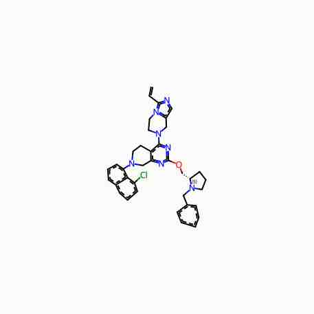 C=Cc1ncc2n1CCN(c1nc(OC[C@@H]3CCCN3Cc3ccccc3)nc3c1CCN(c1cccc4cccc(Cl)c14)C3)C2